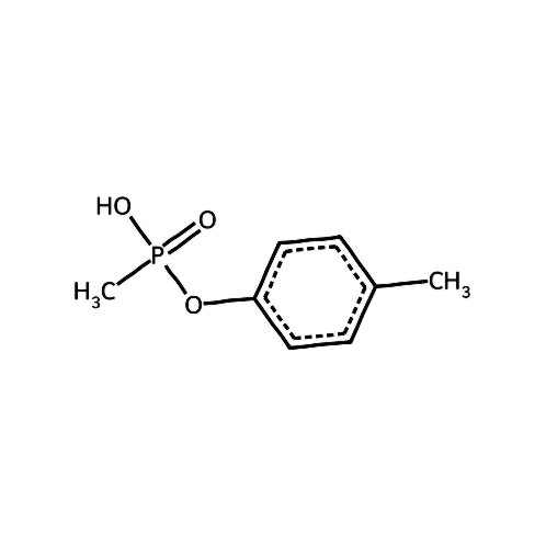 Cc1ccc(OP(C)(=O)O)cc1